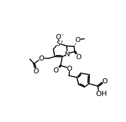 CO[C@@H]1C(=O)N2C(C(=O)OCc3ccc(C(=O)O)cc3)=C(COC(C)=O)C[S+]([O-])C12